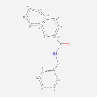 O=C(NCc1ccccc1)c1[c]cc2ccccc2c1